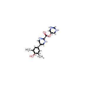 Cc1cc(-c2cnc(C(=O)Oc3cncnc3)nc2)cc(C)c1O